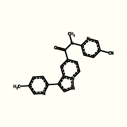 Cc1ccc(-c2cnn3ccc(C(=O)N(C)c4ccc(C#N)cn4)cc23)nc1